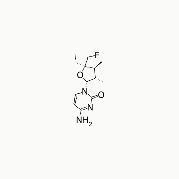 CC[C@@]1(CF)O[C@@H](n2ccc(N)nc2=O)[C@@H](C)[C@@H]1C